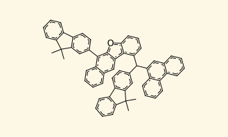 CC1(C)c2ccccc2-c2ccc(-c3c4ccccc4cc4c3oc3cccc(C(c5ccc6c(c5)C(C)(C)c5ccccc5-6)c5cc6ccccc6c6ccccc56)c34)cc21